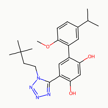 COc1ccc(C(C)C)cc1-c1cc(-c2nnnn2CCC(C)(C)C)c(O)cc1O